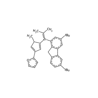 C[C](C)=[Zr]([C]1=CC(c2ccco2)=CC1C)[c]1cc(C(C)(C)C)cc2c1Cc1ccc(C(C)(C)C)cc1-2